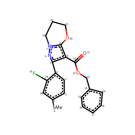 CSc1ccc(-c2nn3c(c2C(=O)OCc2ccccc2)OCCC3)c(F)c1